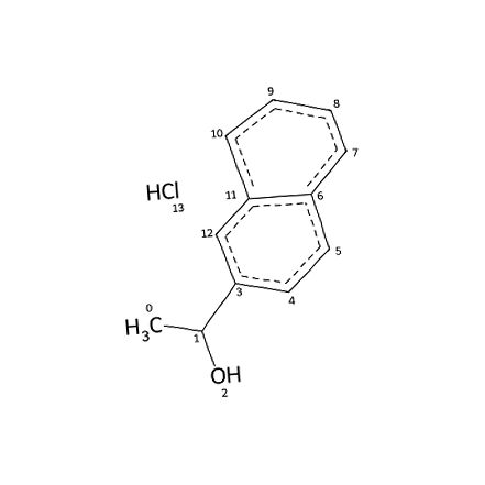 CC(O)c1ccc2ccccc2c1.Cl